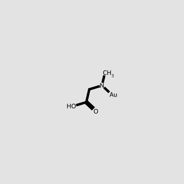 C[N]([Au])CC(=O)O